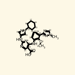 COc1c(Nc2nc(Nc3cnn(C4CCCCC4)c3)ncc2C(=O)O)cccc1-c1ncn(C)n1